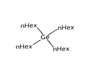 CCCCC[CH2][Ge]([CH2]CCCCC)([CH2]CCCCC)[CH2]CCCCC